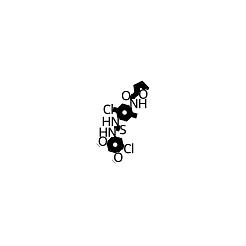 COc1cc(OC)c(NC(=S)Nc2cc(C)c(NC(=O)c3ccco3)cc2Cl)cc1Cl